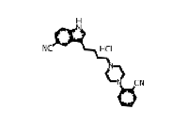 Cl.N#Cc1ccc2[nH]cc(CCCCN3CCN(c4ccccc4C#N)CC3)c2c1